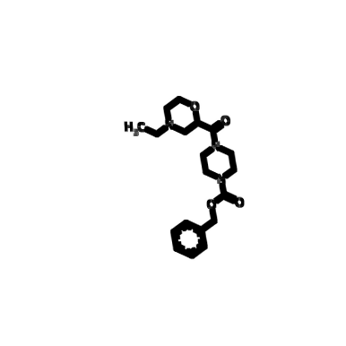 CCN1CCOC(C(=O)N2CCN(C(=O)OCc3ccccc3)CC2)C1